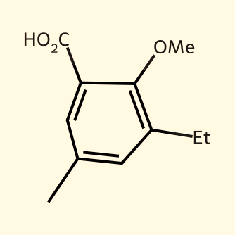 CCc1cc(C)cc(C(=O)O)c1OC